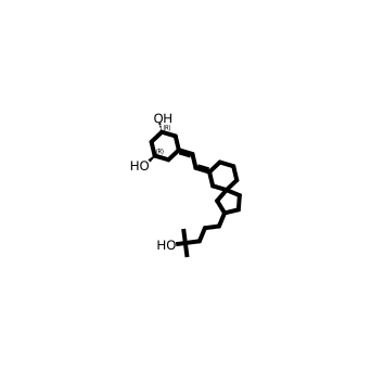 CC(C)(O)CCCC1CCC2(CCCC(=CC=C3C[C@@H](O)C[C@H](O)C3)C2)C1